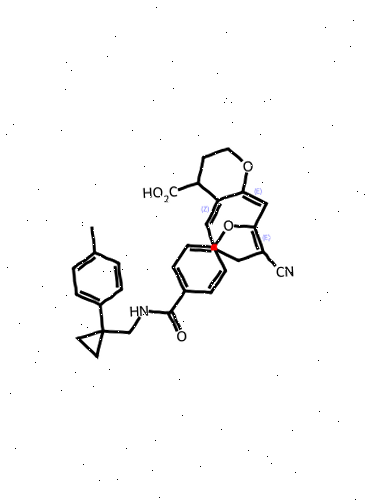 Cc1ccc(C2(CNC(=O)c3ccc(OC4=C(/C#N)CC\C=C5/C(=C\4)OCCC5C(=O)O)cc3)CC2)cc1